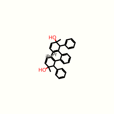 CC(C)C1=C(c2ccccc2C2=C(C(C)C)C=CC(C)(O)C2c2ccccc2)C(c2ccccc2)C(C)(O)C=C1